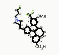 COc1cc(C2=C(c3ccc(C=C4CN(CCCF)C4)cc3)c3ccc(C(=O)O)cc3CCC2)ccc1C(F)F